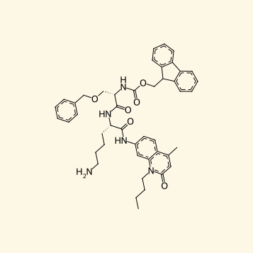 CCCCn1c(=O)cc(C)c2ccc(NC(=O)[C@H](CCCCN)NC(=O)[C@H](COCc3ccccc3)NC(=O)OCC3c4ccccc4-c4ccccc43)cc21